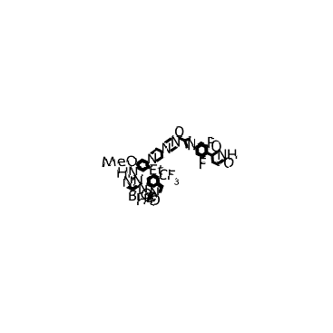 CCc1cc(Nc2ncc(Br)c(Nc3ccc(C(F)(F)F)c4ccn(S(C)(=O)=O)c34)n2)c(OC)cc1N1CCC(N2CCN(C(=O)C3CN(c4cc(F)c(C5CCC(=O)NC5=O)c(F)c4)C3)CC2)CC1